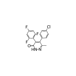 Cc1n[nH]c(=O)c(-c2c(F)cc(F)cc2F)c1-c1ccc(Cl)cc1